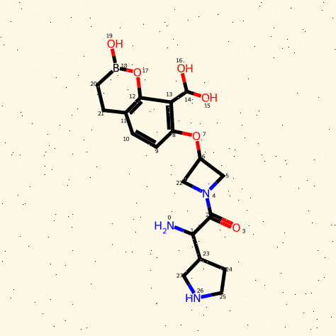 NC(C(=O)N1CC(Oc2ccc3c(c2C(O)O)OB(O)CC3)C1)C1CCNC1